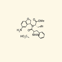 CC(=O)O.COC(=O)[C@H](CC(C)C)N(C(=O)C(Cc1ccccc1)NC(C)=O)[C@@H]1COc2ccc(N)cc21